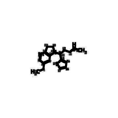 CCc1cnc2c(c1)N([C@@H](CCNC)c1cccs1)CC2